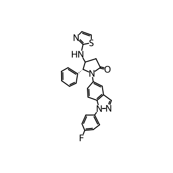 O=C1CC(Nc2nccs2)[C@@H](c2ccccc2)N1c1ccc2c(cnn2-c2ccc(F)cc2)c1